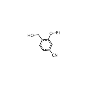 CCOc1cc(C#N)ccc1CO